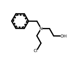 OCCN(CCCl)Cc1ccccc1